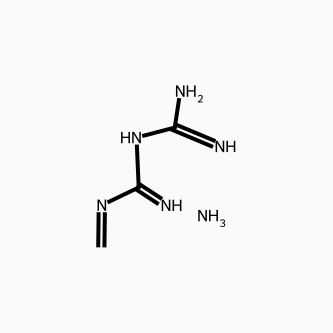 C=NC(=N)NC(=N)N.N